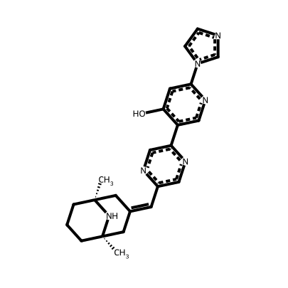 C[C@]12CCC[C@](C)(C/C(=C/c3cnc(-c4cnc(-n5ccnc5)cc4O)cn3)C1)N2